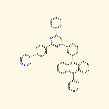 c1ccc(-c2c3ccccc3c(-c3cccc(-c4cc(-c5cccnc5)nc(-c5ccc(-c6ccncc6)cc5)n4)c3)c3ccccc23)cc1